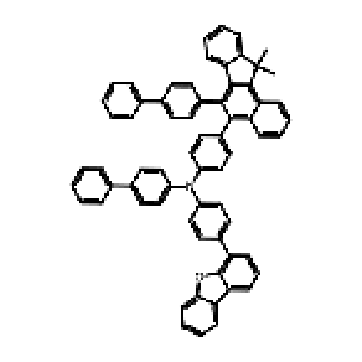 CC1(C)c2ccccc2-c2c(-c3ccc(-c4ccccc4)cc3)c(-c3ccc(N(c4ccc(-c5ccccc5)cc4)c4ccc(-c5cccc6c5oc5ccccc56)cc4)cc3)c3ccccc3c21